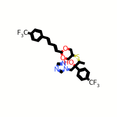 CC(SC1COC(C=CC=Cc2ccc(C(F)(F)F)cc2)OC1)C(O)(Cn1cncn1)c1ccc(C(F)(F)F)cc1